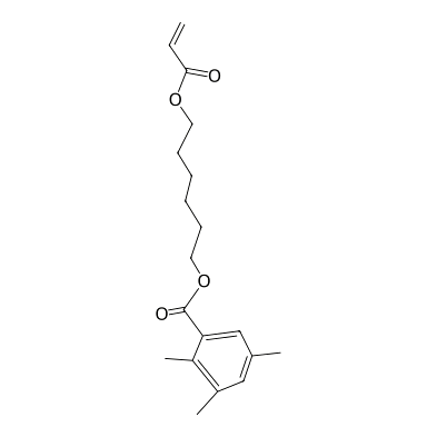 C=CC(=O)OCCCCCCOC(=O)c1cc(C)cc(C)c1C